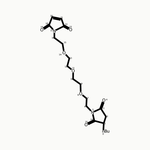 CCCCC1CC(=O)N(CCOCCOCCOCCN2C(=O)C=CC2=O)C1=O